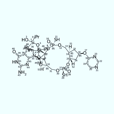 CC(C)[Si](O)(O[Si](O[C@H]1[C@H]2O[P@](=O)(S)OC[C@H]3C[C@@H](Oc4ccncn4)C[C@@H]3O[P@@](=O)(S)OC[C@H]1O[C@H]2n1cnc2c(=O)[nH]c(N)nc21)(C(C)C)C(C)C)C(C)C